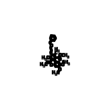 COC(=O)C1=C(C)N(CCCOCc2ccccc2)C(C)=C(C(=O)OC)C1c1ccc(OC)c(OC)c1